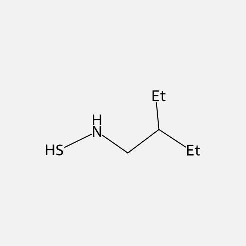 CCC(CC)CNS